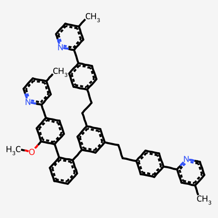 COc1cc(-c2cc(C)ccn2)ccc1-c1ccccc1-c1cc(CCc2ccc(-c3cc(C)ccn3)cc2)cc(CCc2ccc(-c3cc(C)ccn3)cc2)c1